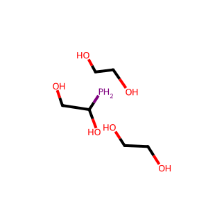 OCC(O)P.OCCO.OCCO